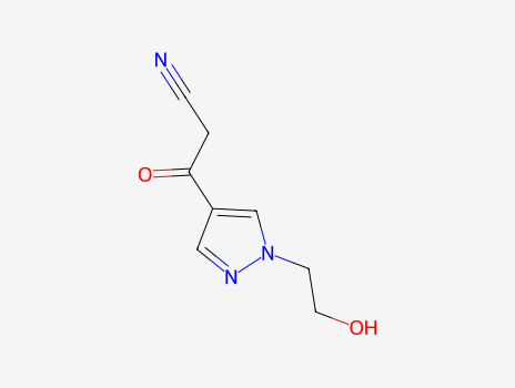 N#CCC(=O)c1cnn(CCO)c1